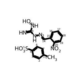 Cc1ccc(S(=O)(=O)O)cc1.N=C(NO)NN=Cc1ccccc1[N+](=O)[O-]